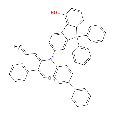 C=C/C=C(\C(=C/C)c1ccccc1)N(c1ccc(-c2ccccc2)cc1)c1ccc2c(c1)C(c1ccccc1)(c1ccccc1)c1cccc(O)c1-2